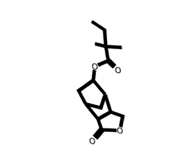 CCC(C)(C)C(=O)OC1CC2CC1C1COC(=O)C21